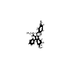 COC(=O)c1c(-c2ccccc2)c2cc(Br)ccc2c(=O)n1Cc1cccc(F)c1